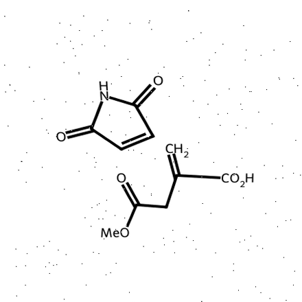 C=C(CC(=O)OC)C(=O)O.O=C1C=CC(=O)N1